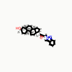 Cc1c2ccccc2nn1C[C@H]1OC1[C@H]1CC[C@H]2[C@@H]3CC[C@@H]4C[C@](C)(O)CC[C@@H]4[C@H]3CC[C@]12C